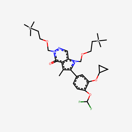 Cc1c(-c2ccc(OC(F)F)c(OC3CC3)c2)n(COCC[Si](C)(C)C)c2cnn(COCC[Si](C)(C)C)c(=O)c12